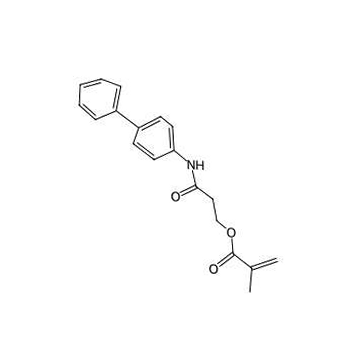 C=C(C)C(=O)OCCC(=O)Nc1ccc(-c2ccccc2)cc1